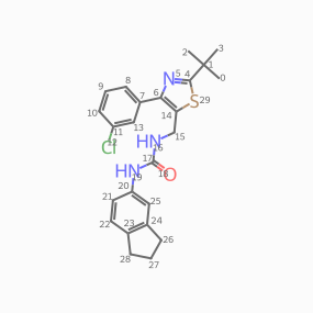 CC(C)(C)c1nc(-c2cccc(Cl)c2)c(CNC(=O)Nc2ccc3c(c2)CCC3)s1